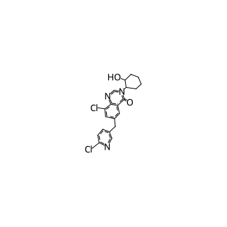 O=c1c2cc(Cc3ccc(Cl)nc3)cc(Cl)c2ncn1C1CCCCC1O